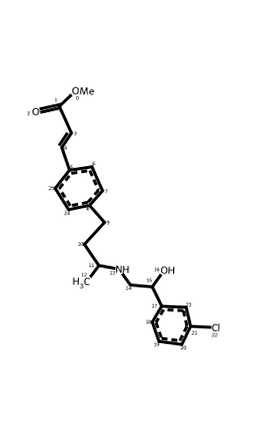 COC(=O)/C=C/c1ccc(CCC(C)NCC(O)c2cccc(Cl)c2)cc1